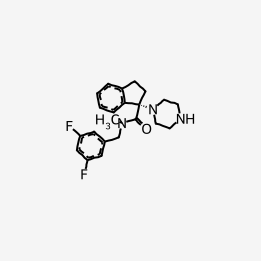 CN(Cc1cc(F)cc(F)c1)C(=O)[C@]1(N2CCNCC2)CCc2ccccc21